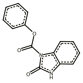 O=C(Oc1ccccc1)n1c(=O)[nH]c2ccccc21